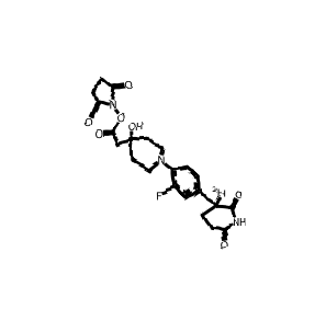 [2H]C1(c2ccc(N3CCC(O)(CC(=O)ON4C(=O)CCC4=O)CC3)c(F)c2)CCC(=O)NC1=O